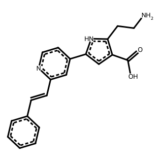 NCCc1[nH]c(-c2ccnc(/C=C/c3ccccc3)c2)cc1C(=O)O